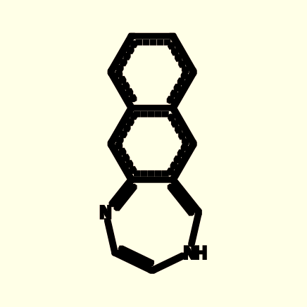 C1=CNC=c2cc3ccccc3cc2=N1